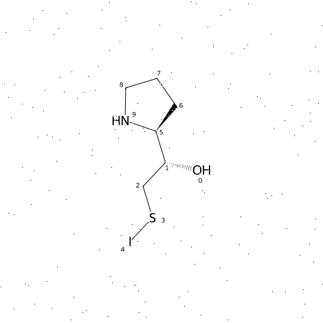 O[C@H](CSI)[C@@H]1CCCN1